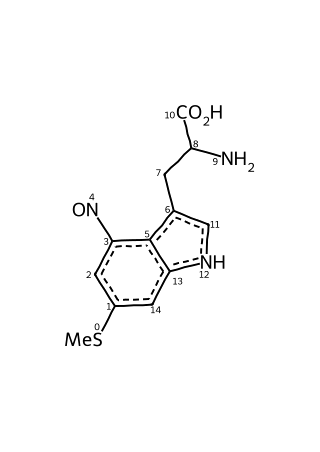 CSc1cc(N=O)c2c(CC(N)C(=O)O)c[nH]c2c1